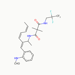 C\C=C/C=C\C(=C\c1ccccc1NC=O)C(C)NC(=O)C(C)(C)C(=O)NCC(F)(F)C(F)(F)F